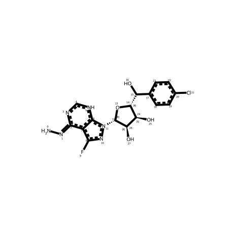 NN=c1nc[nH]c2c1c(F)nn2[C@@H]1O[C@H](C(O)c2ccc(Cl)cc2)[C@@H](O)[C@H]1O